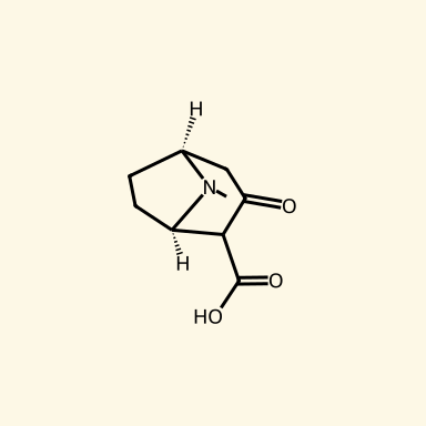 CN1[C@H]2CC[C@@H]1C(C(=O)O)C(=O)C2